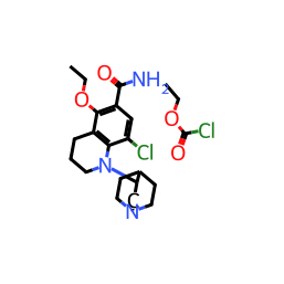 CCOC(=O)Cl.CCOc1c(C(N)=O)cc(Cl)c2c1CCCN2C1CN2CCC1CC2